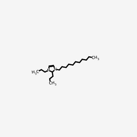 CCCCCCCCCCCN1C=CN(CCC)C1CCC